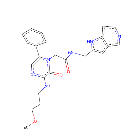 CCOCCCNc1ncc(-c2ccccc2)n(CC(=O)NCc2cc3cnccc3[nH]2)c1=O